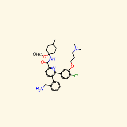 CC1CCC(NC(=O)c2ccc(-c3ccccc3CN)c(-c3ccc(Cl)c(OCCCN(C)C)c3)n2)(OC=O)CC1